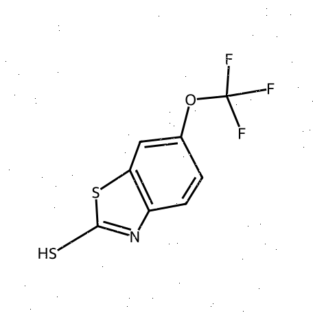 FC(F)(F)Oc1ccc2nc(S)sc2c1